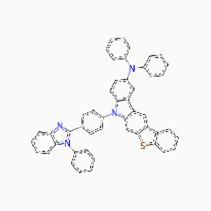 c1ccc(N(c2ccccc2)c2ccc3c(c2)c2cc4c(cc2n3-c2ccc(-c3nc5ccccc5n3-c3ccccc3)cc2)sc2ccccc24)cc1